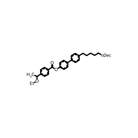 CCCCCCCCCCCCCCCc1ccc(-c2ccc(OC(=O)c3ccc(C(C)OCC)cc3)cc2)cc1